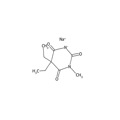 CCC1(CC)C(=O)[N-]C(=O)N(C)C1=O.[Na+]